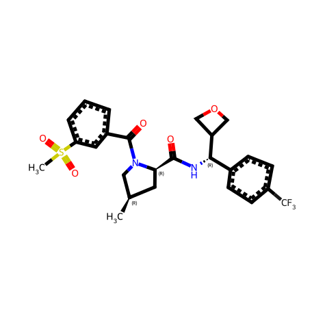 C[C@@H]1C[C@H](C(=O)N[C@@H](c2ccc(C(F)(F)F)cc2)C2COC2)N(C(=O)c2cccc(S(C)(=O)=O)c2)C1